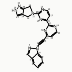 C(#Cn1ncc2ccccc21)c1ccnc(-c2ccnc(N3Cc4c[nH]nc4C3)n2)n1